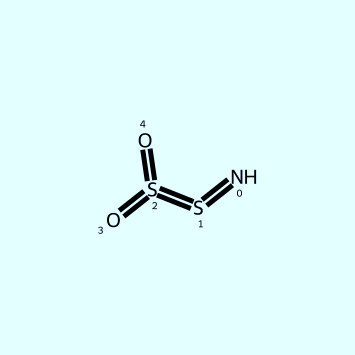 N=S=S(=O)=O